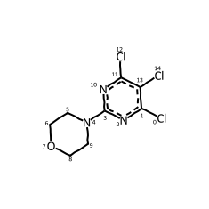 Clc1nc(N2CCOCC2)nc(Cl)c1Cl